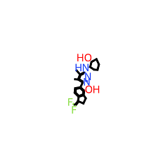 Cc1c(N[C@@H]2CCCC[C@H]2O)nnc(-c2ccc3c(c2O)CCC3=C(F)F)c1C